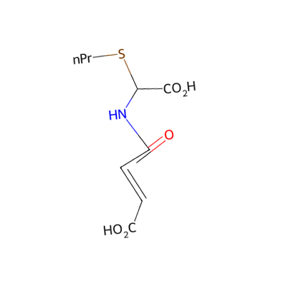 CCCSC(NC(=O)C=CC(=O)O)C(=O)O